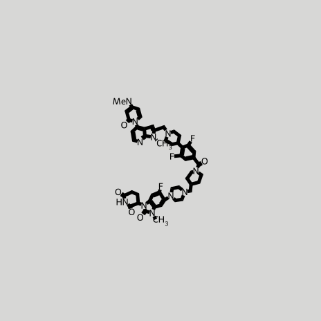 CNc1ccn(-c2ccnc3c2cc(CN2CCC(c4c(F)cc(C(=O)N5CCC(CN6CCN(c7cc8c(cc7F)n(C7CCC(=O)NC7=O)c(=O)n8C)CC6)CC5)cc4F)CC2)n3C)c(=O)c1